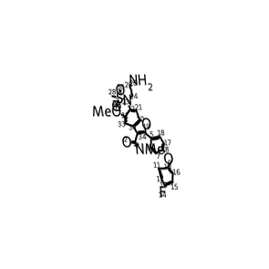 CNC(=O)c1c(-c2ccc(Oc3ccc(F)cc3)cc2)oc2cc(N(CCN)S(C)(=O)=O)c(OC)cc12